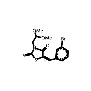 COC(CN1C(=O)/C(=C\c2cccc(Br)c2)SC1=S)OC